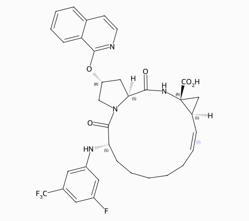 O=C1N[C@]2(C(=O)O)C[C@H]2/C=C\CCCCC[C@H](Nc2cc(F)cc(C(F)(F)F)c2)C(=O)N2C[C@H](Oc3nccc4ccccc34)C[C@@H]12